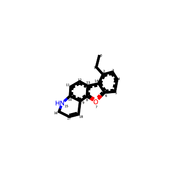 CCc1cccc2oc3c4c(ccc3c12)NCC=C4